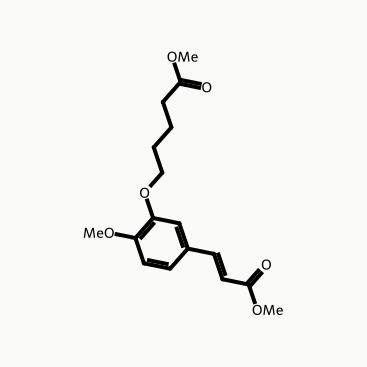 COC(=O)/C=C/c1ccc(OC)c(OCCCCC(=O)OC)c1